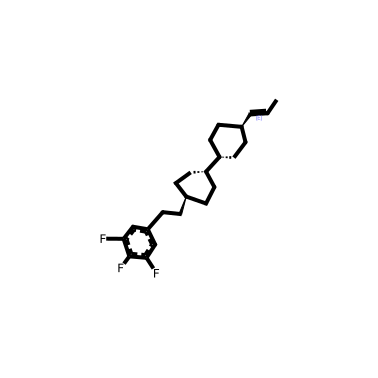 C/C=C/[C@H]1CC[C@H]([C@H]2CC[C@H](CCc3cc(F)c(F)c(F)c3)CC2)CC1